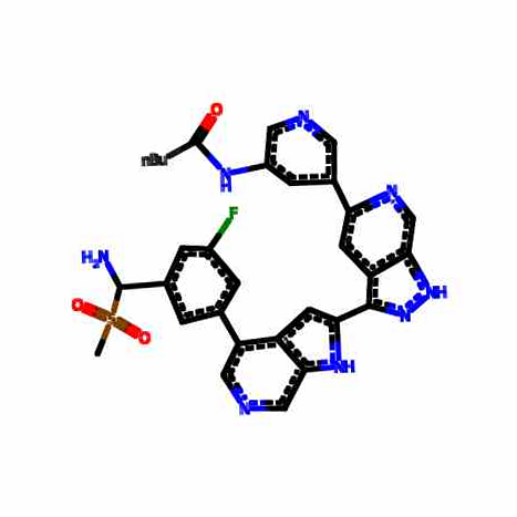 CCCCC(=O)Nc1cncc(-c2cc3c(-c4cc5c(-c6cc(F)cc(C(N)S(C)(=O)=O)c6)cncc5[nH]4)n[nH]c3cn2)c1